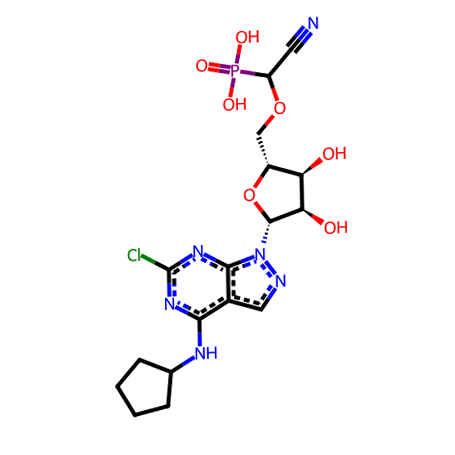 N#CC(OC[C@H]1O[C@@H](n2ncc3c(NC4CCCC4)nc(Cl)nc32)[C@H](O)[C@@H]1O)P(=O)(O)O